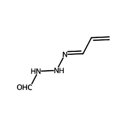 C=CC=NNNC=O